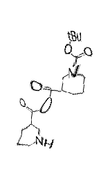 CC(C)(C)OC(=O)N1CCCC(C(=O)OC(=O)C2CCCNC2)C1